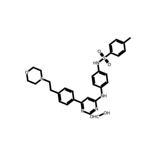 Cc1ccc(S(=O)(=O)Nc2ccc(Nc3cc(-c4ccc(CCN5CCOCC5)cc4)ncn3)cc2)cc1.O=CO